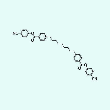 N#Cc1ccc(OC(=O)c2ccc(CCCCCCCCCc3ccc(C(=O)Oc4ccc(C#N)cc4)cc3)cc2)cc1